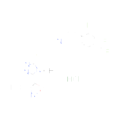 Cc1ncoc1-c1nnc(SCCCN2CC[C@@]3(C[C@H]3c3ccc(C(F)(F)F)cc3F)C2)n1C.Cl